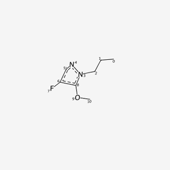 CCCn1n[c]c(F)c1OC